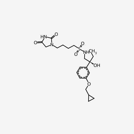 CC[C@@](O)(CNS(=O)(=O)CCCCN1CC(=O)NC1=O)c1cccc(OCC2CC2)c1